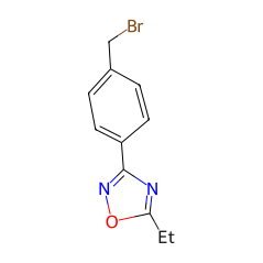 CCc1nc(-c2ccc(CBr)cc2)no1